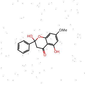 COc1cc(O)c2c(c1)OC(O)(c1ccccc1)CC2=O